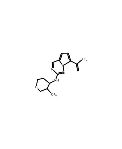 C=C(c1ccc2cnc(NC3CCOCC3OC(C)=O)nn12)C(F)(F)F